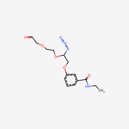 CCNC(=O)c1cccc(OCC(N=[N+]=[N-])OCCOCC=O)c1